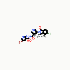 CC1(C)c2cc(Cl)ccc2C(=O)N1c1cncc(C(=O)NC(O)c2cncc(Br)c2)c1